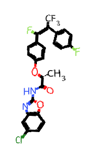 C[C@@H](Oc1ccc(C(F)=C(c2ccc(F)cc2)C(F)(F)F)cc1)C(=O)Nc1nc2cc(Cl)ccc2o1